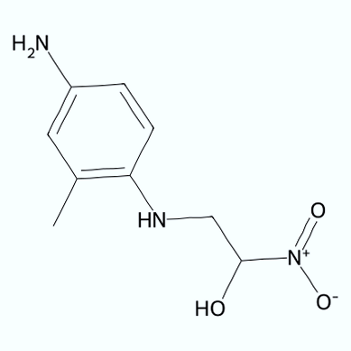 Cc1cc(N)ccc1NCC(O)[N+](=O)[O-]